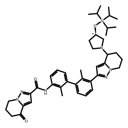 Cc1c(NC(=O)c2cc3n(n2)CCCC3=O)cccc1-c1cccc(-c2cc3n(n2)CCCC3N2CC[C@@H](O[Si](C(C)C)(C(C)C)C(C)C)C2)c1C